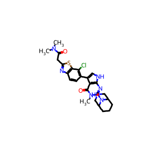 CN(C)C(=O)Cc1nc2ccc(-c3c[nH]c4nc(N5C6CCCC5CNC6)n(C)c(=O)c34)c(Cl)c2s1